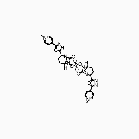 C[n+]1ccc(-c2nnc([C@@H]3CC[C@@H]4CN3C(=O)N4OS(=O)(=O)ON3C(=O)N4C[C@H]3CC[C@H]4c3nnc(-c4cc[n+](C)cc4)o3)o2)cc1